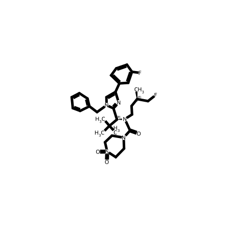 C[C@@H](CF)CCN(C(=O)N1CCS(=O)(=O)CC1)[C@@H](c1nc(-c2cccc(F)c2)cn1Cc1ccccc1)C(C)(C)C